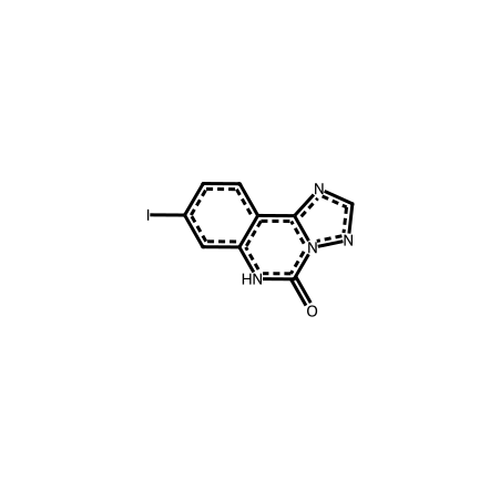 O=c1[nH]c2cc(I)ccc2c2ncnn12